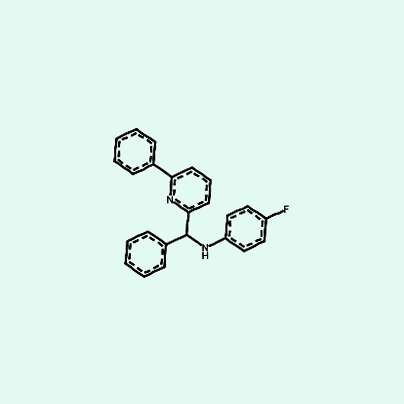 Fc1ccc(NC(c2ccccc2)c2cccc(-c3ccccc3)n2)cc1